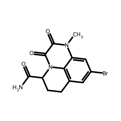 Cn1c(=O)c(=O)n2c3c(cc(Br)cc31)CCC2C(N)=O